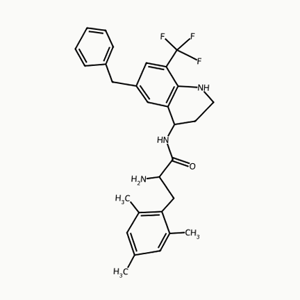 Cc1cc(C)c(CC(N)C(=O)NC2CCNc3c2cc(Cc2ccccc2)cc3C(F)(F)F)c(C)c1